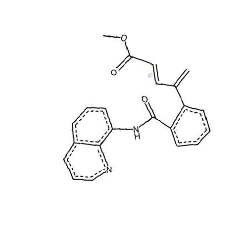 C=C(/C=C/C(=O)OC)c1ccccc1C(=O)Nc1cccc2cccnc12